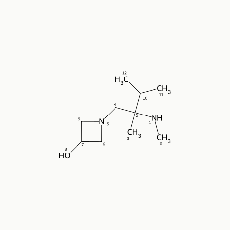 CNC(C)(CN1CC(O)C1)C(C)C